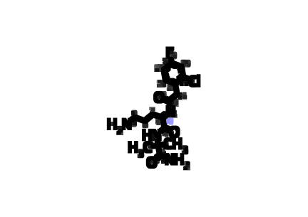 CC(C)(NC(=O)/C(CCCN)=N/C(=O)Cc1ccc(F)cc1Cl)C(N)=O